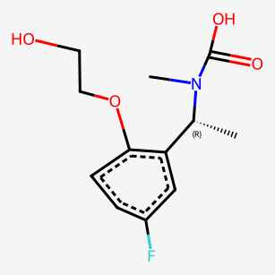 C[C@H](c1cc(F)ccc1OCCO)N(C)C(=O)O